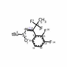 CC(F)(F)/C(=N/[S+]([O-])C(C)(C)C)c1cccc(F)c1F